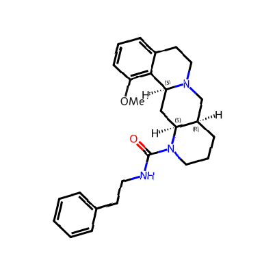 COc1cccc2c1[C@@H]1C[C@H]3[C@H](CCCN3C(=O)NCCc3ccccc3)CN1CC2